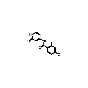 O=C(Nc1cc[nH]c(=O)c1)c1ccc(Cl)cc1F